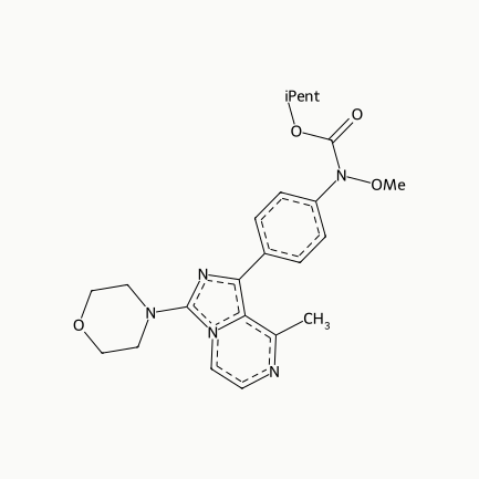 CCCC(C)OC(=O)N(OC)c1ccc(-c2nc(N3CCOCC3)n3ccnc(C)c23)cc1